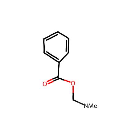 CNCOC(=O)c1ccccc1